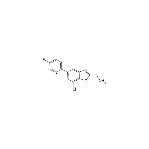 NCc1cc2cc(-c3ccc(F)[c]n3)cc(Cl)c2o1